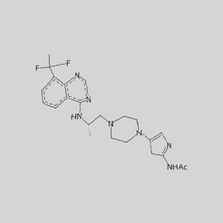 CC(=O)NC1=NC=C(N2CCN(C[C@H](C)Nc3ncnc4c(C(C)(F)F)cccc34)CC2)C1